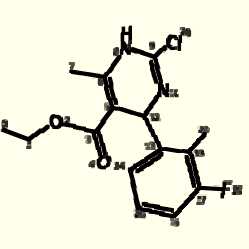 CCOC(=O)C1=C(C)NC(Cl)=NC1c1cccc(F)c1C